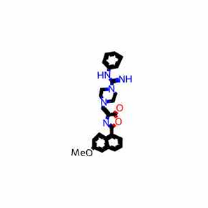 COc1ccc2c(C3=NC(=CN4CCN(C(=N)Nc5ccccc5)CC4)C(=O)O3)cccc2c1